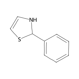 C1=CSC(c2ccccc2)N1